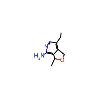 CCc1cnc(N)c2c1COC2C